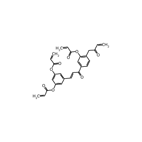 C=CC(=O)Cc1ccc(C(=O)/C=C/c2cc(OC(=O)C=C)cc(OC(=O)C=C)c2)cc1OC(=O)C=C